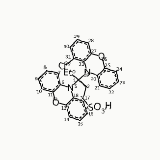 CCC(CCS(=O)(=O)O)(N1c2ccccc2Oc2ccccc21)N1c2ccccc2Oc2cccc(Cl)c21